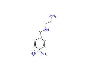 NCCNC=C1C=CC(N)(N)C=C1